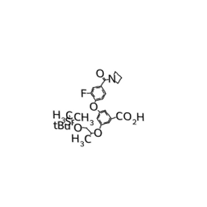 CC(CO[Si](C)(C)C(C)(C)C)Oc1cc(Oc2ccc(C(=O)N3CCC3)cc2F)cc(C(=O)O)c1